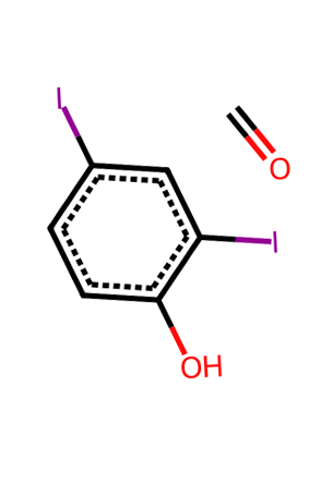 C=O.Oc1ccc(I)cc1I